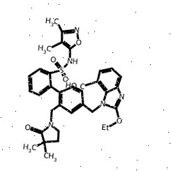 CCOc1nc2cccc(C(=O)O)c2n1Cc1ccc(-c2ccccc2S(=O)(=O)Nc2onc(C)c2C)c(CN2CCC(C)(C)C2=O)c1